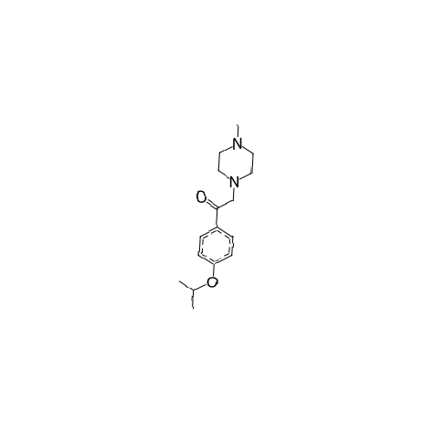 CC(C)Oc1ccc(C(=O)CN2CCN(C)CC2)cc1